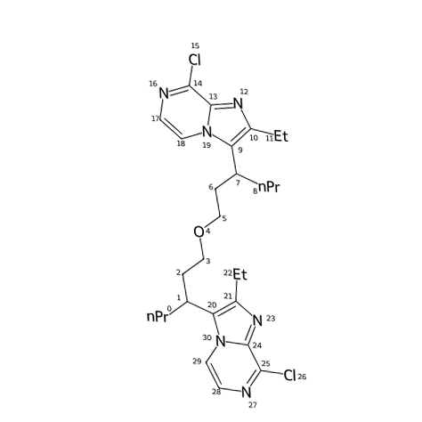 CCCC(CCOCCC(CCC)c1c(CC)nc2c(Cl)nccn12)c1c(CC)nc2c(Cl)nccn12